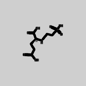 O=C(O)CC[C@H](NCCS(=O)(=O)O)C(=O)O